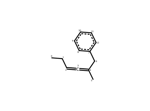 CCC=C=C(C)Cc1ccccc1